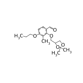 CCCOc1ccc(C=O)c(OCC2COC(C)(C)O2)c1C